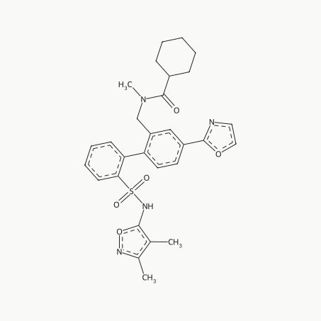 Cc1noc(NS(=O)(=O)c2ccccc2-c2ccc(-c3ncco3)cc2CN(C)C(=O)C2CCCCC2)c1C